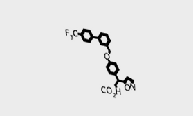 O=C(O)CC(c1ccc(OCc2cccc(-c3ccc(C(F)(F)F)cc3)c2)cc1)c1ccno1